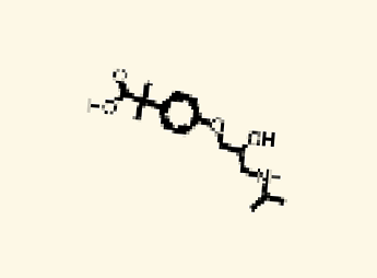 CC(C)NCC(O)COc1ccc(C(C)(C)C(=O)O)cc1